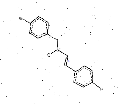 [O-][S+](/C=C/c1ccc(F)cc1)Cc1ccc(Br)cc1